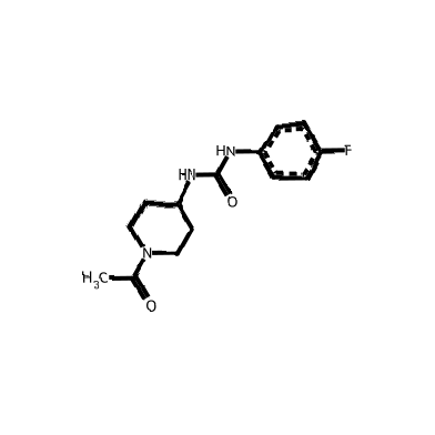 CC(=O)N1CCC(NC(=O)Nc2ccc(F)cc2)CC1